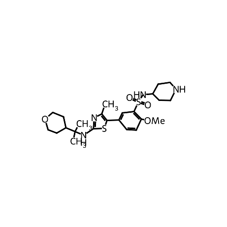 COc1ccc(-c2sc(NC(C)(C)C3CCOCC3)nc2C)cc1S(=O)(=O)NC1CCNCC1